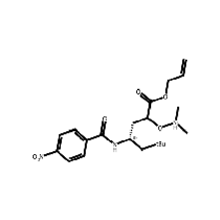 C=CCOC(=O)C(C[C@H](CC(C)(C)C)NC(=O)c1ccc([N+](=O)[O-])cc1)O[SiH](C)C